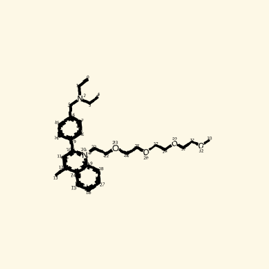 CCN(CC)Cc1ccc(-c2cc(C)c3ccccc3[n+]2CCOCCOCCOCCOC)cc1